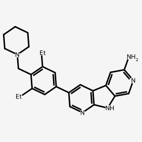 CCc1cc(-c2cnc3[nH]c4cnc(N)cc4c3c2)cc(CC)c1CN1CCCCC1